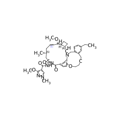 CCc1ccc2c(c1)CCCCOc1ccc3cc1N(C2)C[C@@H]1CC[C@H]1[C@@H](OC)/C=C/C[C@H](C)CS(=O)(NC(=O)c1cn(C)nc1OC)=NC3=O